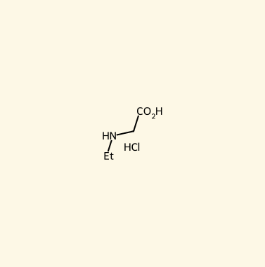 CCNCC(=O)O.Cl